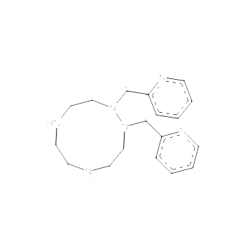 c1ccc(CN2CCNCCNCCN2Cc2ccccn2)nc1